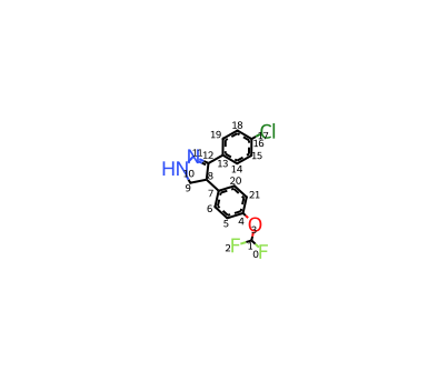 FC(F)Oc1ccc(C2CNN=C2c2ccc(Cl)cc2)cc1